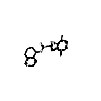 Cc1ccc(F)c2cc(C(=O)NC3CCCc4cnccc43)[nH]c12